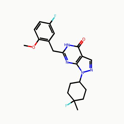 COc1ccc(F)cc1Cc1nc2c(cnn2C2CCC(C)(F)CC2)c(=O)[nH]1